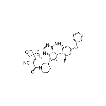 CC1(C=C(C#N)C(=O)N2CCCC(n3nc(-c4ccc(Oc5ccccc5)cc4F)c4c(N)ncnc43)C2)COC1